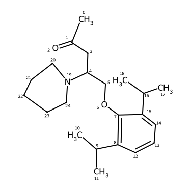 CC(=O)CC(COc1c(C(C)C)cccc1C(C)C)N1CCCCC1